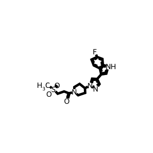 CS(=O)(=O)CCC(=O)N1CCC(n2cc(-c3c[nH]c4cc(F)ccc34)cn2)CC1